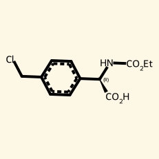 CCOC(=O)N[C@@H](C(=O)O)c1ccc(CCl)cc1